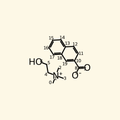 C[N+](C)(C)CCO.O=C([O-])c1ccc2ccccc2c1